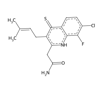 CC(C)=CCc1c(CC(N)=O)[nH]c2c(F)c(Cl)ccc2c1=S